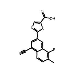 Cc1ccc2c(C#N)cc(-c3ncc(C(=O)O)s3)cc2c1F